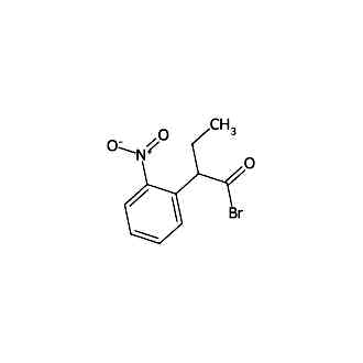 CCC(C(=O)Br)c1ccccc1[N+](=O)[O-]